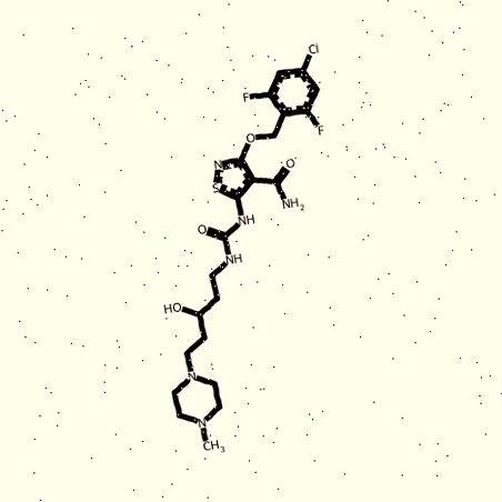 CN1CCN(CCC(O)CCNC(=O)Nc2snc(OCc3c(F)cc(Cl)cc3F)c2C(N)=O)CC1